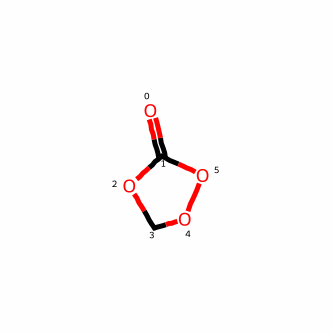 O=C1OCOO1